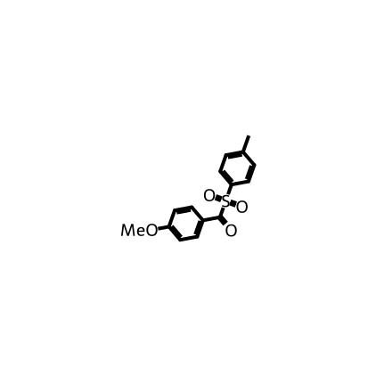 COc1ccc(C(=O)S(=O)(=O)c2ccc(C)cc2)cc1